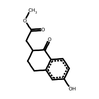 COC(=O)CC1CCc2cc(O)ccc2C1=O